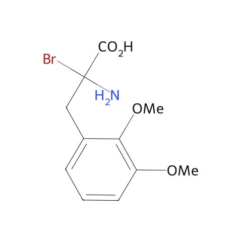 COc1cccc(CC(N)(Br)C(=O)O)c1OC